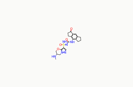 CNC1COc2c(S(N)(=O)=NC(=O)Nc3c4c(cc5c3CCC5=O)CCC4)cnn2C1